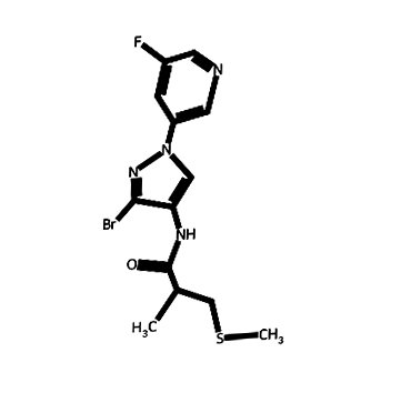 CSCC(C)C(=O)Nc1cn(-c2cncc(F)c2)nc1Br